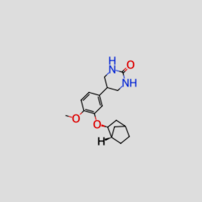 COc1ccc(C2CNC(=O)NC2)cc1O[C@H]1CC2CC[C@H]1C2